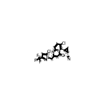 N#C[C@H]1C[C@@H]1c1c(Cl)ccc2nc(Cn3nc(C(F)(F)F)cc3Cl)cc(=O)n12